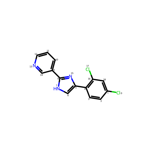 Clc1ccc(-c2c[nH]c(-c3cccnc3)n2)c(Cl)c1